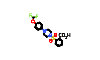 O=C(O)c1ccccc1S(=O)(=O)N1CCN(c2ccc(OC(F)F)cc2)CC1